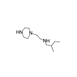 CCC(C)CNCCN1CCNCC1